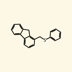 c1ccc(SCc2cccc3c2Cc2ccccc2-3)cc1